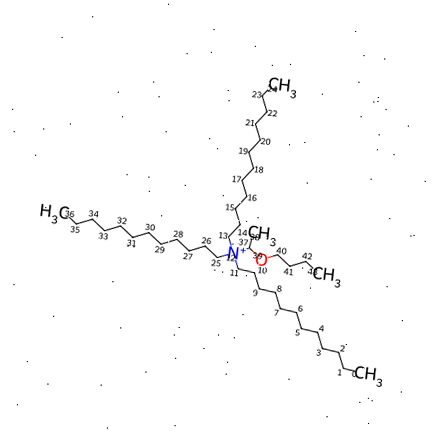 CCCCCCCCCCCC[N+](CCCCCCCCCCCC)(CCCCCCCCCCCC)C(C)OCCCC